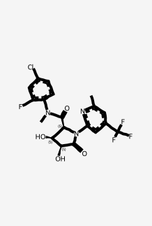 Cc1cc(C(F)(F)F)cc(N2C(=O)[C@@H](O)[C@@H](O)[C@H]2C(=O)N(C)c2ccc(Cl)cc2F)n1